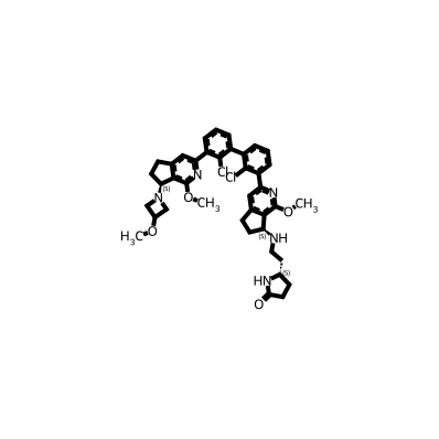 COc1nc(-c2cccc(-c3cccc(-c4cc5c(c(OC)n4)[C@@H](N4CC(OC)C4)CC5)c3Cl)c2Cl)cc2c1[C@@H](NCC[C@@H]1CCC(=O)N1)CC2